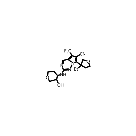 CCC1(c2c(C#N)c(C(F)(F)F)c3cnc(NC4CCOCC4O)nn23)CCOC1